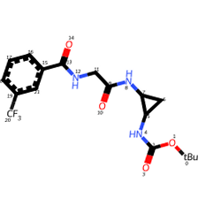 CC(C)(C)OC(=O)NC1CC1NC(=O)CNC(=O)c1cccc(C(F)(F)F)c1